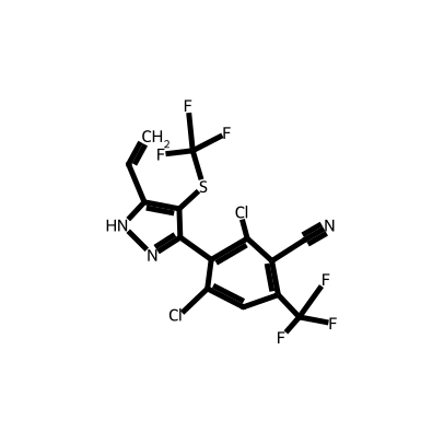 C=Cc1[nH]nc(-c2c(Cl)cc(C(F)(F)F)c(C#N)c2Cl)c1SC(F)(F)F